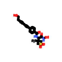 CC1(C(NC(=O)c2ccc(C#CC#CCCO)cc2)C(=O)NO)CS(=O)(=O)C1